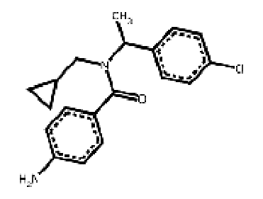 CC(c1ccc(Cl)cc1)N(CC1CC1)C(=O)c1ccc(N)cc1